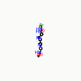 CC(C)(C)OC(=O)NCC1CCN(c2ccc(-c3ccn4c(-c5cccc(NC(=O)NCC(F)(F)F)c5)cnc4c3)cn2)CC1